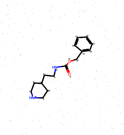 O=C(NCCC1CCNCC1)OCc1ccccc1